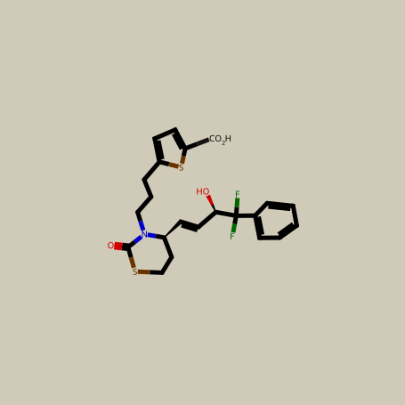 O=C(O)c1ccc(CCCN2C(=O)SCC[C@@H]2C=C[C@@H](O)C(F)(F)c2ccccc2)s1